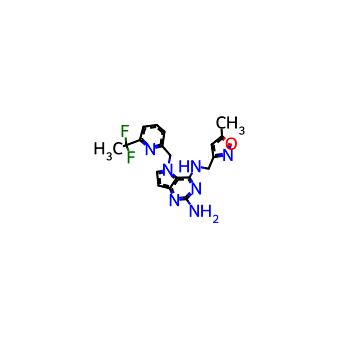 Cc1cc(CNc2nc(N)nc3ccn(Cc4cccc(C(C)(F)F)n4)c23)no1